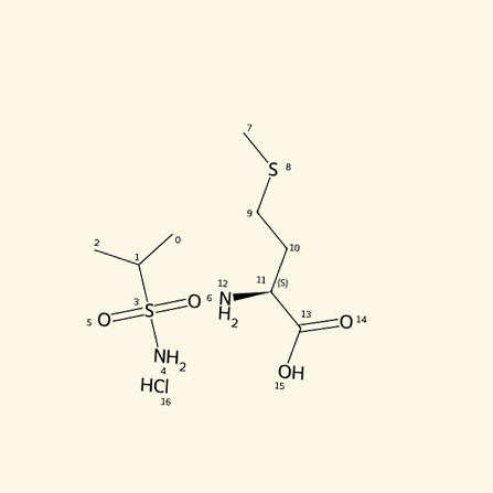 CC(C)S(N)(=O)=O.CSCC[C@H](N)C(=O)O.Cl